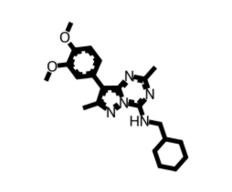 COc1ccc(-c2c(C)nn3c(NCC4CCCCC4)nc(C)nc23)cc1OC